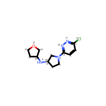 Clc1ccc(N2CC[C@@H](NC3CCOC3)C2)nn1